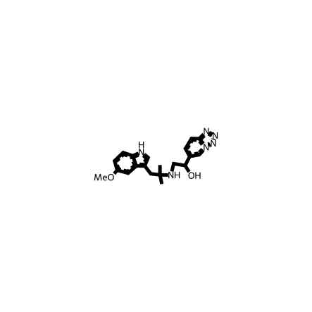 COc1ccc2[nH]cc(CC(C)(C)NCC(O)c3ccc4nnnn4c3)c2c1